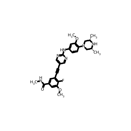 CNC(=O)c1cc(C#Cc2cnc(Nc3ccc(N4C[C@@H](C)N[C@@H](C)C4)c(OC)c3)nc2)c(F)c(OC)c1